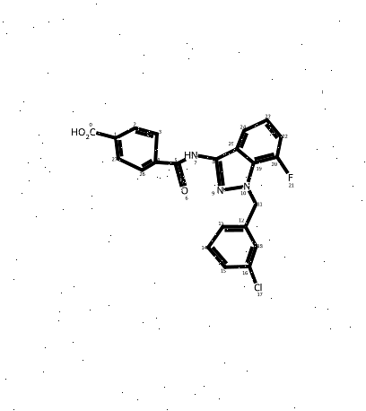 O=C(O)c1ccc(C(=O)Nc2nn(Cc3cccc(Cl)c3)c3c(F)cccc23)cc1